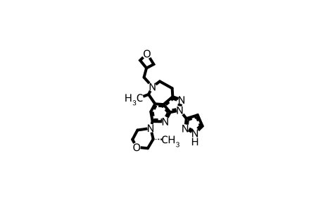 CC1c2cc(N3CCOC[C@H]3C)nc3c2c(nn3-c2cc[nH]n2)CCN1CC1COC1